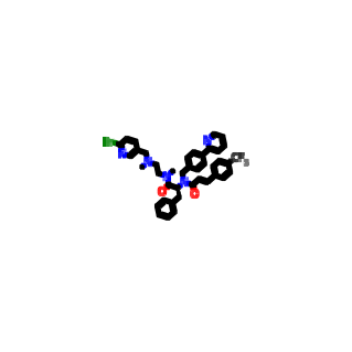 CN(CCN(C)C(=O)[C@H](Cc1ccccc1)N(Cc1ccc(-c2ccccn2)cc1)C(=O)/C=C/c1ccc(C(F)(F)F)cc1)Cc1ccc(Br)nc1